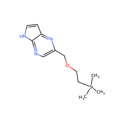 C[Si](C)(C)CCOCc1cnc2[nH]ccc2n1